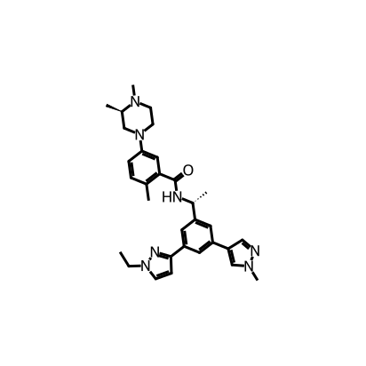 CCn1ccc(-c2cc(-c3cnn(C)c3)cc([C@@H](C)NC(=O)c3cc(N4CCN(C)[C@H](C)C4)ccc3C)c2)n1